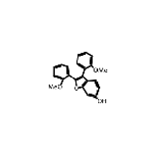 COc1ccccc1-c1oc2cc(O)ccc2c1-c1ccccc1OC